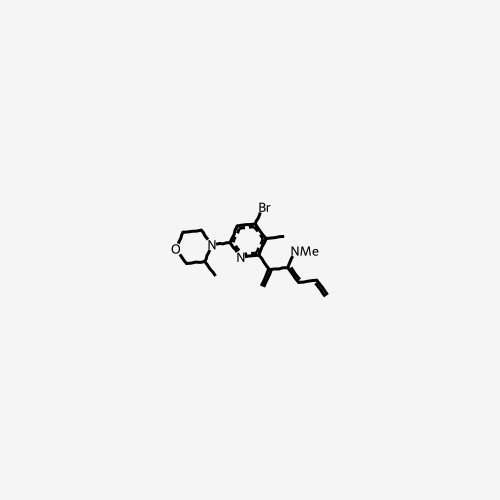 C=C/C=C(\NC)C(=C)c1nc(N2CCOCC2C)cc(Br)c1C